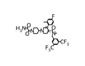 Cc1cc(F)ccc1[C@@H]1CN(C2CCN(C(=O)C(N)=O)CC2)CC[C@H]1C(=O)N(C)Cc1cc(C(F)(F)F)cc(C(F)(F)F)c1